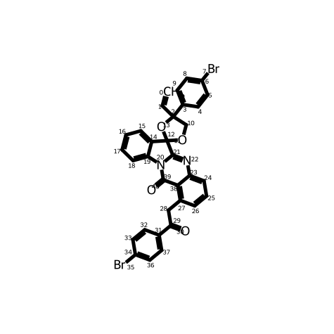 C=CC1(c2ccc(Br)cc2)COC2(O1)c1ccccc1-n1c2nc2cccc(CC(=O)c3ccc(Br)cc3)c2c1=O